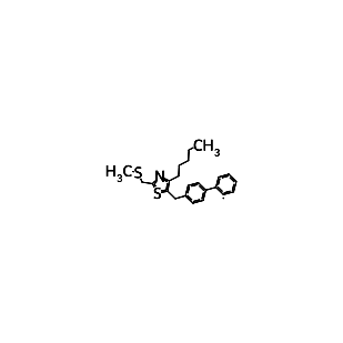 CCCCCc1nc(CSC)sc1Cc1ccc(-c2[c]cccc2)cc1